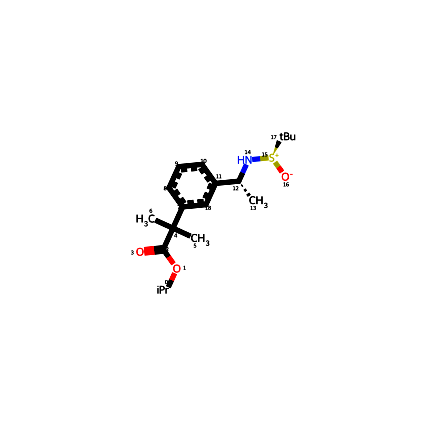 CC(C)OC(=O)C(C)(C)c1cccc([C@@H](C)N[S@+]([O-])C(C)(C)C)c1